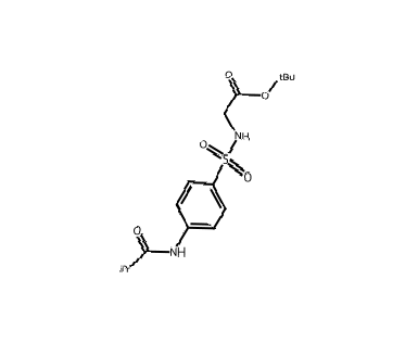 CC(C)C(=O)Nc1ccc(S(=O)(=O)NCC(=O)OC(C)(C)C)cc1